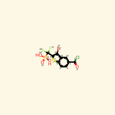 O=C(Cl)c1ccc2sc(C(F)(F)P(=O)(O)O)c(Br)c2c1